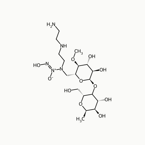 CO[C@H]1[C@H](O)[C@@H](O)[C@@H](OC2[C@@H](CO)O[C@H](C)[C@H](O)[C@H]2O)O[C@@H]1CN(CCNCCN)/[N+]([O-])=N/O